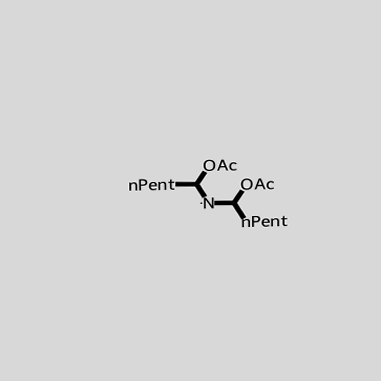 CCCCCC([N]C(CCCCC)OC(C)=O)OC(C)=O